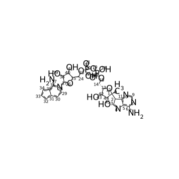 C[C@]1(C2C=Nc3c(N)ncnc32)O[C@@H](COP(=O)(O)OP(=O)(O)OC[C@H]2O[C@@H](n3ccc4cccc-4c3N)[C@@H](O)C2O)C(O)[C@H]1O